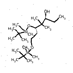 CC[C@H](O)C(C)(C)[C@H](CCO[Si](C)(C)C(C)(C)C)O[Si](C)(C)C(C)(C)C